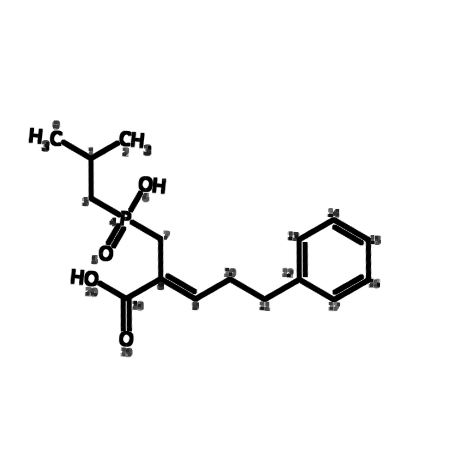 CC(C)CP(=O)(O)CC(=CCCc1ccccc1)C(=O)O